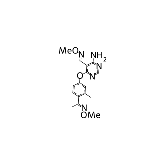 CON=Cc1c(N)ncnc1Oc1ccc(C(C)=NOC)c(C)c1